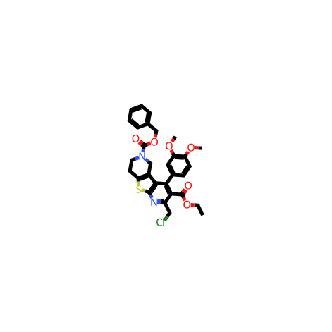 CCOC(=O)c1c(CCl)nc2sc3c(c2c1-c1ccc(OC)c(OC)c1)CN(C(=O)OCc1ccccc1)CC3